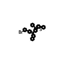 Brc1cccc(-c2ccc(N(c3ccc4ccccc4c3)c3ccc4c5c6sc7ccccc7c6ccc5n(-c5ccccc5)c4c3)cc2)c1